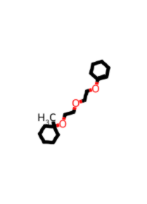 CC1(OCCOCCOC2=CCCCC2)CCCCC1